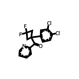 O=C(c1ccccn1)C1(c2ccc(Cl)c(Cl)c2)CC(F)(F)C1